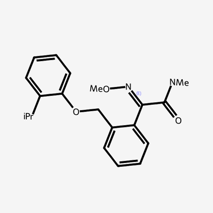 CNC(=O)/C(=N/OC)c1ccccc1COc1ccccc1C(C)C